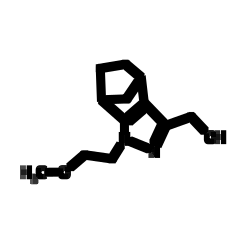 COCCn1nc(CO)c2c1C1CCC2C1